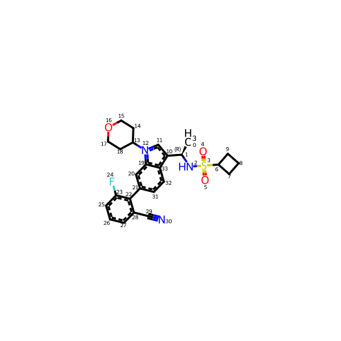 C[C@@H](NS(=O)(=O)C1CCC1)c1cn(C2CCOCC2)c2cc(-c3c(F)cccc3C#N)ccc12